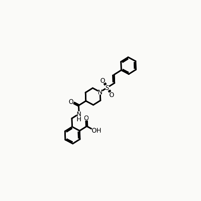 O=C(O)c1ccccc1CNC(=O)C1CCN(S(=O)(=O)/C=C/c2ccccc2)CC1